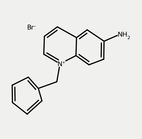 Nc1ccc2c(ccc[n+]2Cc2ccccc2)c1.[Br-]